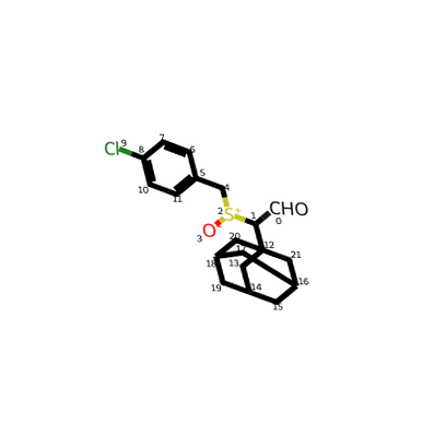 O=CC([S+]([O-])Cc1ccc(Cl)cc1)C12CC3CC(CC(C3)C1)C2